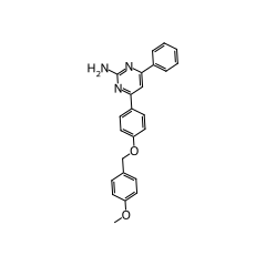 COc1ccc(COc2ccc(-c3cc(-c4ccccc4)nc(N)n3)cc2)cc1